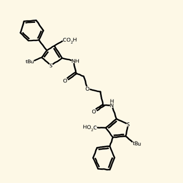 CC(C)(C)c1sc(NC(=O)COCC(=O)Nc2sc(C(C)(C)C)c(-c3ccccc3)c2C(=O)O)c(C(=O)O)c1-c1ccccc1